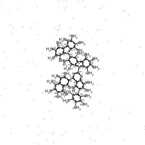 Bc1c(B)c(B)c(-c2c(B)c(B)c3nc(-n4c5c(B)c(B)c(B)c(B)c5c5c(B)c(-n6c7c(B)c(B)c(B)c(B)c7c7c(B)c(B)c(B)c(B)c76)c(B)c(B)c54)nc(-c4c(B)c(B)c5c(B)c(B)c(B)c(B)c5c4B)c3c2B)c(B)c1B